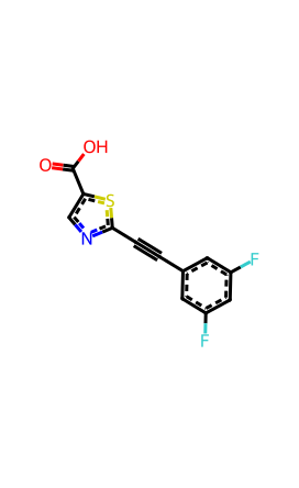 O=C(O)c1cnc(C#Cc2cc(F)cc(F)c2)s1